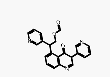 O=COCC(c1cccnc1)c1cccc2c1C(=O)C(c1cccnc1)C=N2